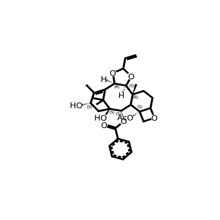 C=CC1O[C@@H]2C3=C(C)[C@@H](O)C[C@@](O)([C@@H](OC(=O)c4ccccc4)C4[C@]5(OC(C)=O)COC5CC[C@@]4(C)[C@@H]2O1)C3(C)C